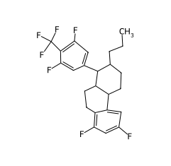 CCCC1CCC2c3cc(F)cc(F)c3CCC2C1c1cc(F)c(C(F)(F)F)c(F)c1